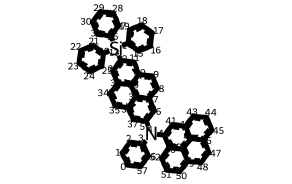 c1ccc(N(c2cc3ccc4cc([Si](c5ccccc5)(c5ccccc5)c5ccccc5)cc5ccc(c2)c3c45)c2cc3cccc4ccc5cccc2c5c43)cc1